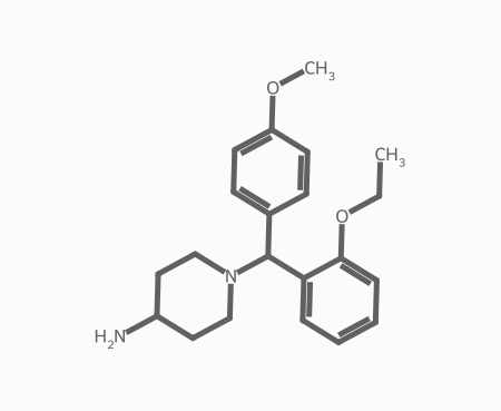 CCOc1ccccc1C(c1ccc(OC)cc1)N1CCC(N)CC1